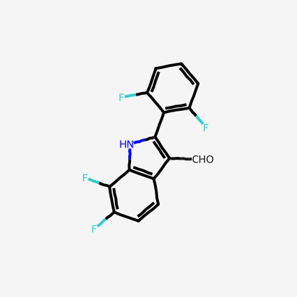 O=Cc1c(-c2c(F)cccc2F)[nH]c2c(F)c(F)ccc12